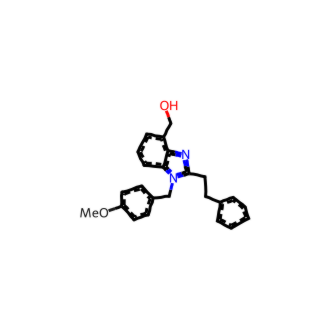 COc1ccc(Cn2c(CCc3ccccc3)nc3c(CO)cccc32)cc1